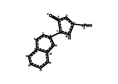 CCCCCc1cc(=O)n(-c2ccc3ccccc3c2)[nH]1